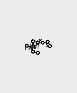 CC1(C)c2cc(-c3ccccc3NC3N=C(c4ccccc4)NC(c4cccc(-c5ccccc5)c4)N3)ccc2-c2ccc(-c3cccc4c3sc3ccccc34)cc21